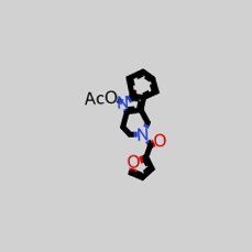 CC(=O)On1c2c(c3ccccc31)CN(C(=O)c1ccco1)CC2